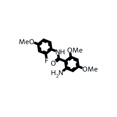 COc1ccc(NC(=O)c2c(N)cc(OC)cc2OC)c(F)c1